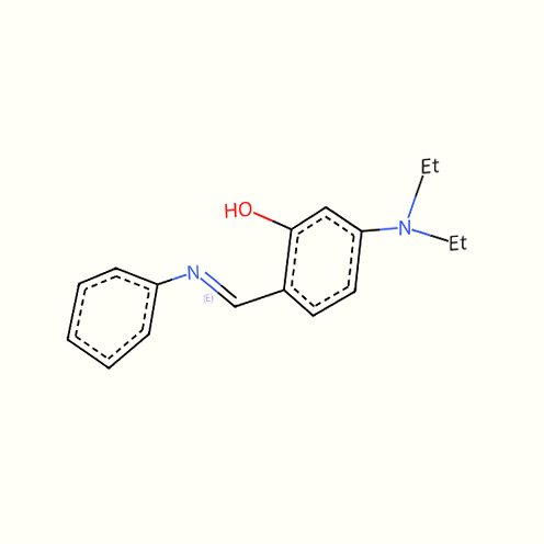 CCN(CC)c1ccc(/C=N/c2ccccc2)c(O)c1